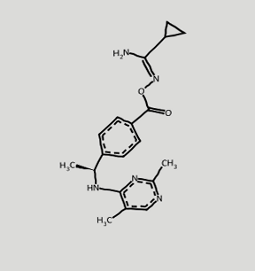 Cc1ncc(C)c(N[C@@H](C)c2ccc(C(=O)O/N=C(\N)C3CC3)cc2)n1